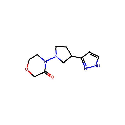 O=C1COCCN1N1CCC(c2cc[nH]n2)C1